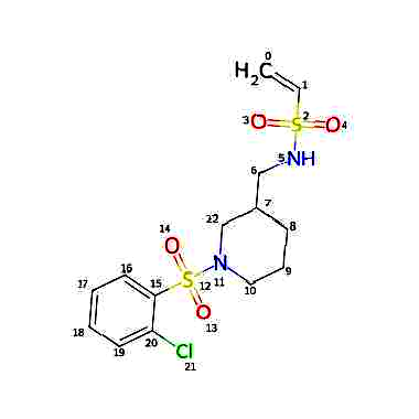 C=CS(=O)(=O)NCC1CCCN(S(=O)(=O)c2ccccc2Cl)C1